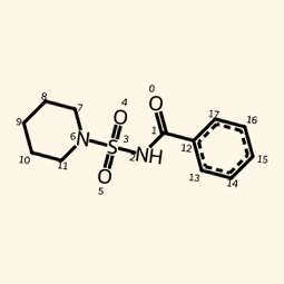 O=C(NS(=O)(=O)N1CCCCC1)c1ccccc1